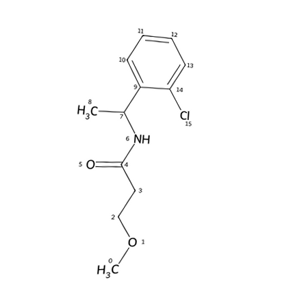 COCCC(=O)NC(C)c1ccccc1Cl